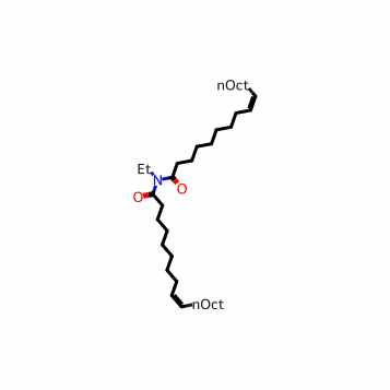 CCCCCCCC/C=C\CCCCCCCC(=O)N(CC)C(=O)CCCCCCC/C=C\CCCCCCCC